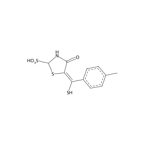 Cc1ccc(C(S)=C2SC(S(=O)(=O)O)NC2=O)cc1